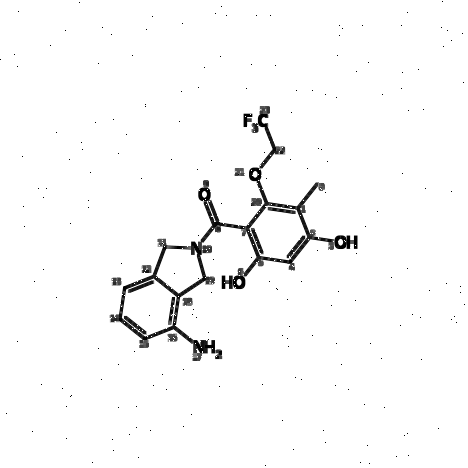 Cc1c(O)cc(O)c(C(=O)N2Cc3cccc(N)c3C2)c1OCC(F)(F)F